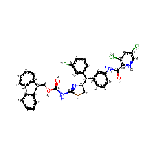 O=C(NC1=NC(C(c2cccc(F)c2)c2cccc(NC(=O)c3ncc(Cl)cc3Cl)c2)CS1)OCC1c2ccccc2-c2ccccc21